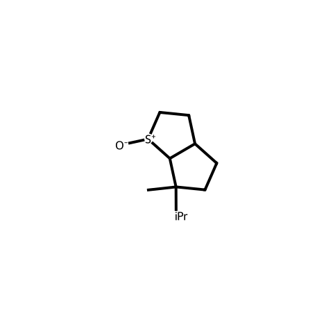 CC(C)C1(C)CCC2CC[S+]([O-])C21